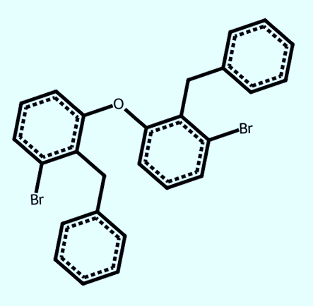 Brc1cccc(Oc2cccc(Br)c2Cc2ccccc2)c1Cc1ccccc1